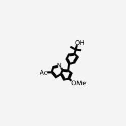 COc1cc(-c2ccc(C(C)(C)O)cc2)c2ncc(C(C)=O)cc2c1